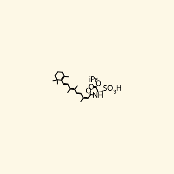 CC1=C(/C=C/C(C)=C(C)/C=C/C(C)=C\C(=O)N[C@@H](CS(=O)(=O)O)C(=O)OC(C)C)C(C)(C)CCC1